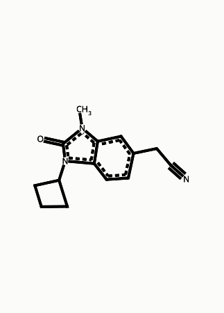 Cn1c(=O)n(C2CCC2)c2ccc(CC#N)cc21